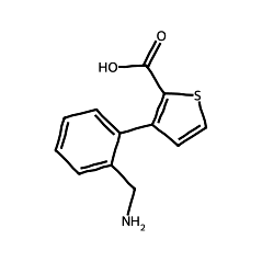 NCc1ccccc1-c1ccsc1C(=O)O